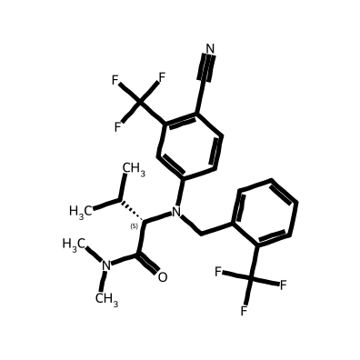 CC(C)[C@@H](C(=O)N(C)C)N(Cc1ccccc1C(F)(F)F)c1ccc(C#N)c(C(F)(F)F)c1